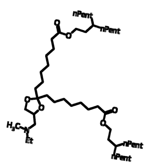 CCCCCC(CCCCC)CCOC(=O)CCCCCCCC1(CCCCCCCC(=O)OCCC(CCCCC)CCCCC)OCC(CN(C)CC)O1